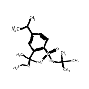 COC(C)(C)c1cc(C(C)C)ccc1S(=O)(=O)NC(C)(C)C